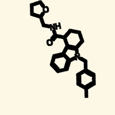 Cc1ccc(Cn2c3c(c4ccccc42)C(C(=O)NCC2CCCO2)CCC3)cc1